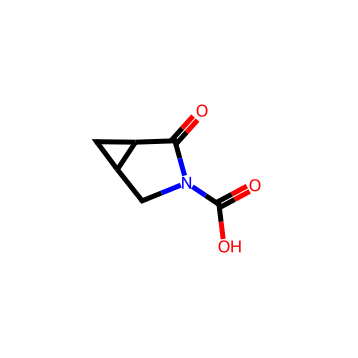 O=C(O)N1CC2CC2C1=O